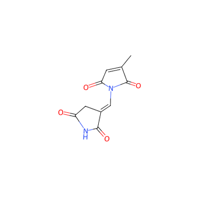 CC1=CC(=O)N(C=C2CC(=O)NC2=O)C1=O